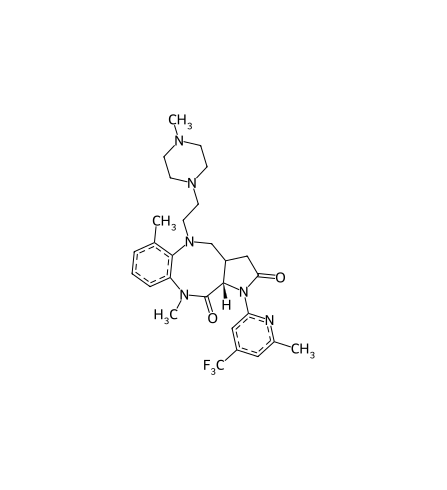 Cc1cc(C(F)(F)F)cc(N2C(=O)CC3CN(CCN4CCN(C)CC4)c4c(C)cccc4N(C)C(=O)[C@H]32)n1